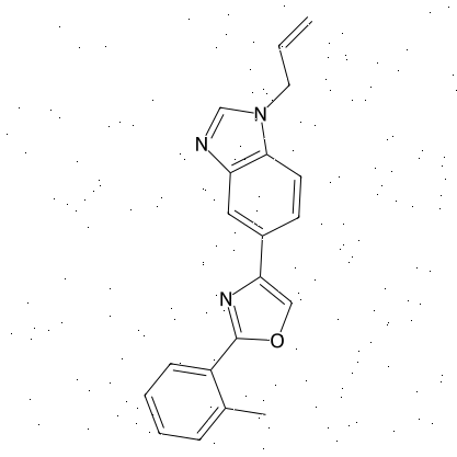 C=CCn1cnc2cc(-c3coc(-c4ccccc4C)n3)ccc21